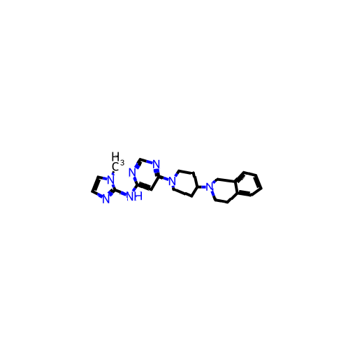 Cn1ccnc1Nc1cc(N2CCC(N3CCc4ccccc4C3)CC2)ncn1